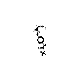 C[C@H](N)C(=O)OC[C@H]1CC[C@H](NC(=O)OC(C)(C)C)CC1